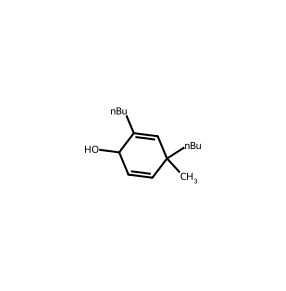 CCCCC1=CC(C)(CCCC)C=CC1O